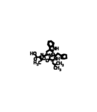 Cc1oc([C@@H](Cc2c[nH]c3ccccc23)NC(=O)[C@H](CC(C)C)NC(=O)CC2CC3CCC2C3)nc1C(=O)O